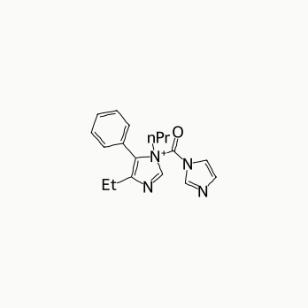 CCC[N+]1(C(=O)n2ccnc2)C=NC(CC)=C1c1ccccc1